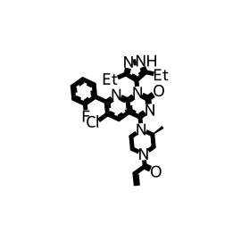 C=CC(=O)N1CCN(c2nc(=O)n(-c3c(CC)n[nH]c3CC)c3nc(-c4ccccc4F)c(Cl)cc23)[C@@H](C)C1